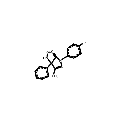 CC1=NN(c2ccc(Br)cc2)C(=O)C1(NO)c1ccccc1